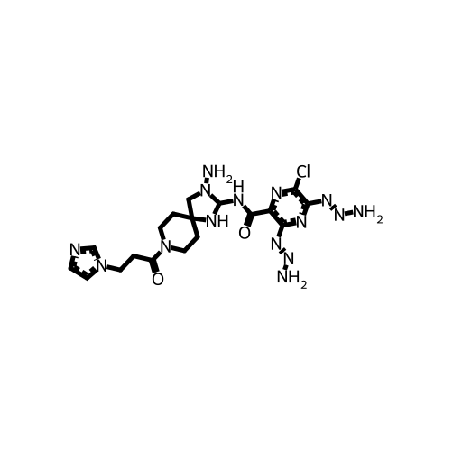 NN=Nc1nc(N=NN)c(C(=O)NC2NC3(CCN(C(=O)CCn4ccnc4)CC3)CN2N)nc1Cl